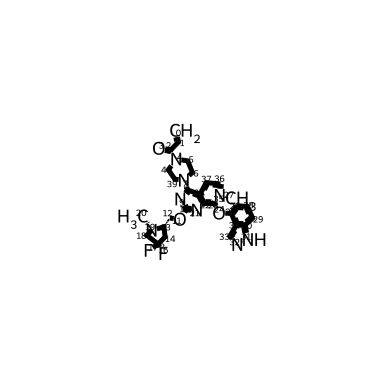 C=CC(=O)N1CCN(c2nc(OC[C@@H]3CC(F)(F)CN3C)nc3c(Oc4c(C)ccc5[nH]ncc45)nccc23)CC1